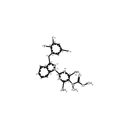 COC(=O)N(C)c1c(N)nc(-n2nc(Cc3cc(F)cc(F)c3F)c3ccccc32)nc1N